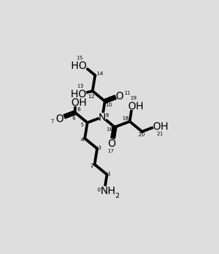 NCCCCC(C(=O)O)N(C(=O)C(O)CO)C(=O)C(O)CO